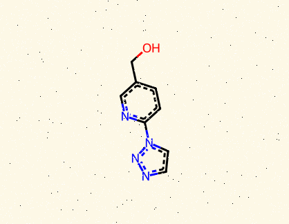 OCc1ccc(-n2ccnn2)nc1